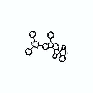 c1ccc(-c2nc(-c3ccccc3)nc(-c3ccc4c5c6c(ccc5n(-c5ccccc5)c4c3)C3(c4ccccc4Oc4ccccc43)c3ccccc3-6)n2)cc1